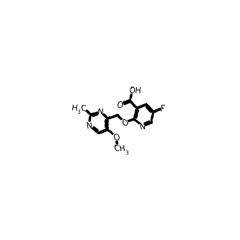 COc1cnc(C)nc1COc1ncc(F)cc1C(=O)O